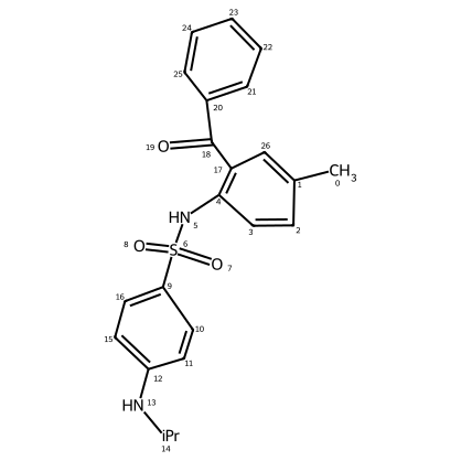 Cc1ccc(NS(=O)(=O)c2ccc(NC(C)C)cc2)c(C(=O)c2ccccc2)c1